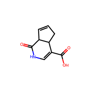 O=C(O)C1=CNC(=O)C2C=CCC12